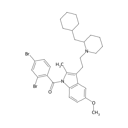 COc1ccc2c(c1)c(CCN1CCCCC1CC1CCCCC1)c(C)n2C(=O)c1ccc(Br)cc1Br